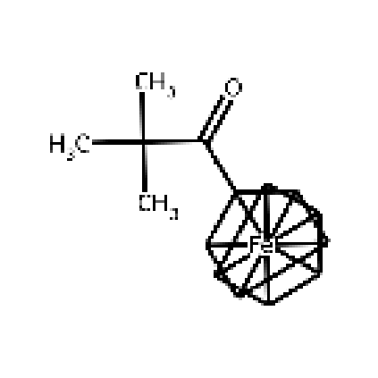 CC(C)(C)C(=O)[C]12[CH]3[CH]4[CH]5[CH]1[Fe]45321678[CH]2[CH]1[CH]6[CH]7[CH]28